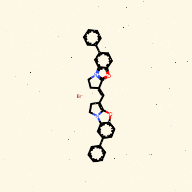 C(=C1CC[n+]2c1oc1ccc(-c3ccccc3)cc12)C1=C2Oc3ccc(-c4ccccc4)cc3N2CC1.[Br-]